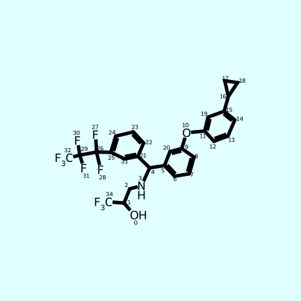 OC(CNC(c1cccc(Oc2cccc(C3CC3)c2)c1)c1cccc(C(F)(F)C(F)(F)C(F)(F)F)c1)C(F)(F)F